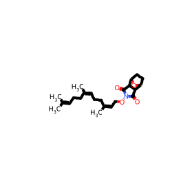 CC(C)=CCCC(C)=CCCC(C)=CCON1C(=O)C2C3CCC(O3)C2C1=O